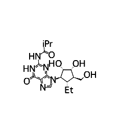 CC[C@H]1[C@H](CO)[C@@H](O)[C@@H](O)[C@@H]1n1cnc2c(=O)[nH]c(NC(=O)C(C)C)nc21